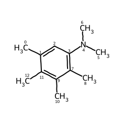 Cc1cc(N(C)C)c(C)c(C)c1C